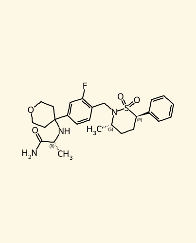 C[C@@H](NC1(c2ccc(CN3[C@@H](C)CC[C@H](c4ccccc4)S3(=O)=O)c(F)c2)CCOCC1)C(N)=O